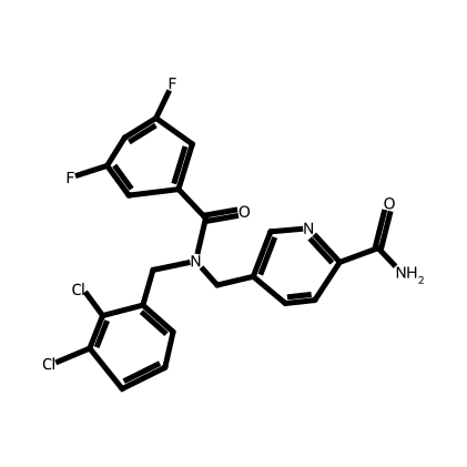 NC(=O)c1ccc(CN(Cc2cccc(Cl)c2Cl)C(=O)c2cc(F)cc(F)c2)cn1